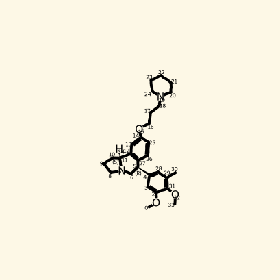 COc1cc([C@H]2CN3CCC[C@H]3c3cc(OCCCN4CCCCC4)ccc32)cc(C)c1OC